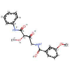 CCOc1cccc(C(=O)NCC(=O)C(OCC)C(=O)Nc2ccccc2)c1